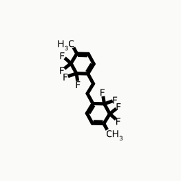 CC1=CC=C(CCC2=CC=C(C)C(F)(F)C2(F)F)C(F)(F)C1(F)F